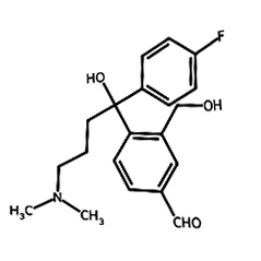 CN(C)CCCC(O)(c1ccc(F)cc1)c1ccc(C=O)cc1CO